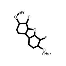 CCCCCCOC1CCC2C3CCC(OCCC)C(F)C3OC2C1F